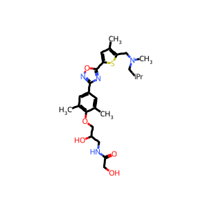 Cc1cc(-c2nc(-c3cc(C)c(OCC(O)CNC(=O)CO)c(C)c3)no2)sc1CN(C)CC(C)C